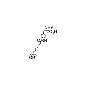 CC(=O)NC(Cc1ccc(NC(=O)CCCCCCC(=O)NO)cc1)C(=O)O